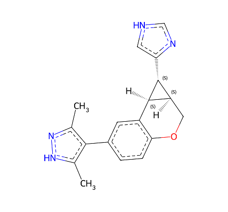 Cc1n[nH]c(C)c1-c1ccc2c(c1)[C@@H]1[C@H](CO2)[C@H]1c1c[nH]cn1